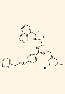 CC(C)CN(CCO)CCC[C@H](NC(=O)c1ccc(CNCc2ccccn2)cc1)C(=O)N[C@@H](C)c1cccc2ccccc12